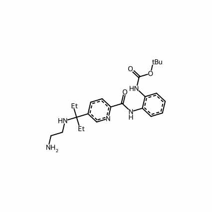 CCC(CC)(NCCN)c1ccc(C(=O)Nc2ccccc2NC(=O)OC(C)(C)C)nc1